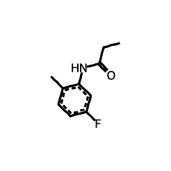 CCC(=O)Nc1cc(F)ccc1C